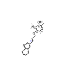 CC1O[C@H](C)[C@@H](OC/C=C/c2cnc3ccccc3c2)[C@H](N(C)C)[C@H]1O